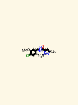 COc1cc(CNC(=O)c2cc(C(C)(C)C)nn2C)ccc1Cl